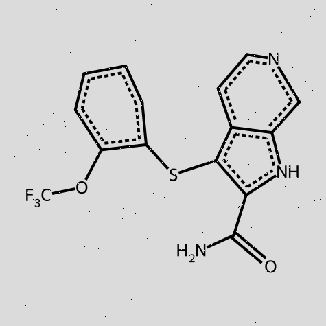 NC(=O)c1[nH]c2cnccc2c1Sc1ccccc1OC(F)(F)F